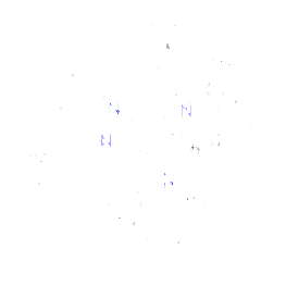 CC(C)(C)c1cc(C(C)(C)C)c2c3cccc4c3n(c2c1)-c1cc(-c2nc(-c3ccccc3)c3ccccc3n2)cc2c1B4c1cccc3c4c(C(C)(C)C)cc(C(C)(C)C)cc4n-2c13